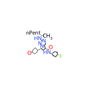 CCCCC[C@H](C)Nc1ncc2c(C(=O)Nc3ccc(F)cc3)cc(C3CCC(=O)CC3)n2n1